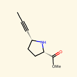 CC#C[C@H]1CC[C@@H](C(=O)OC)N1